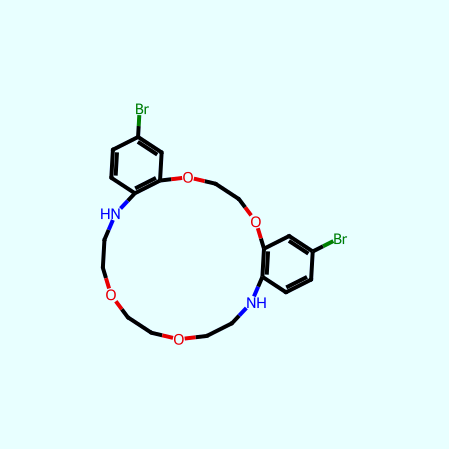 Brc1ccc2c(c1)OCCOc1cc(Br)ccc1NCCOCCOCCN2